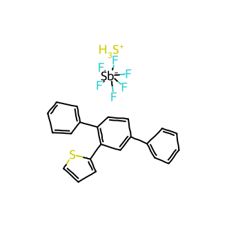 [F][Sb-]([F])([F])([F])([F])[F].[SH3+].c1ccc(-c2ccc(-c3ccccc3)c(-c3cccs3)c2)cc1